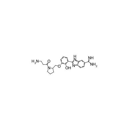 N=C(N)c1ccc2nc(-c3cccc(OCC4CCCN4C(=O)CCN)c3O)[nH]c2c1